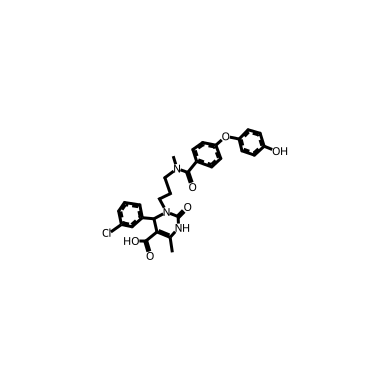 CC1=C(C(=O)O)C(c2cccc(Cl)c2)N(CCCN(C)C(=O)c2ccc(Oc3ccc(O)cc3)cc2)C(=O)N1